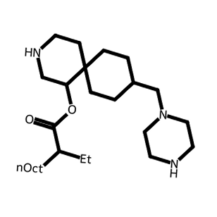 CCCCCCCCC(CC)C(=O)OC1CNCCC12CCC(CN1CCNCC1)CC2